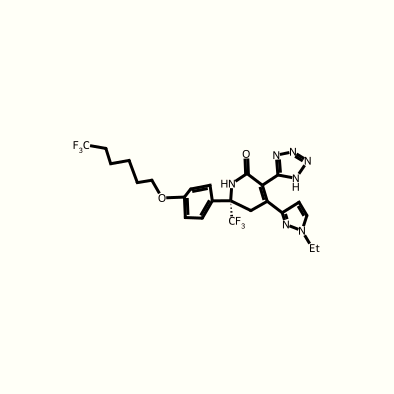 CCn1ccc(C2=C(c3nnn[nH]3)C(=O)N[C@@](c3ccc(OCCCCCC(F)(F)F)cc3)(C(F)(F)F)C2)n1